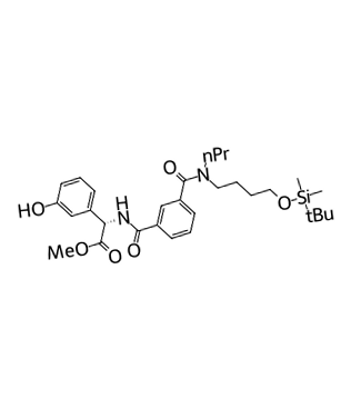 CCCN(CCCCO[Si](C)(C)C(C)(C)C)C(=O)c1cccc(C(=O)N[C@H](C(=O)OC)c2cccc(O)c2)c1